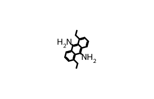 CCc1cccc2c(N)c3c(CC)cccc3c(N)c12